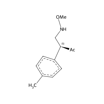 CONC[C@@H](C(C)=O)c1ccc(C)cc1